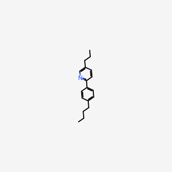 CCCCc1ccc(-c2ccc(CCC)cn2)cc1